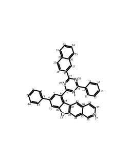 c1ccc(-c2cc(-c3nc(-c4ccccc4)nc(-c4ccc5ccccc5c4)n3)c3c(c2)oc2cc4cnccc4cc23)cc1